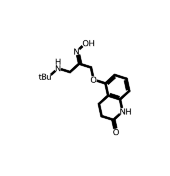 CC(C)(C)NC/C(COc1cccc2c1CCC(=O)N2)=N/O